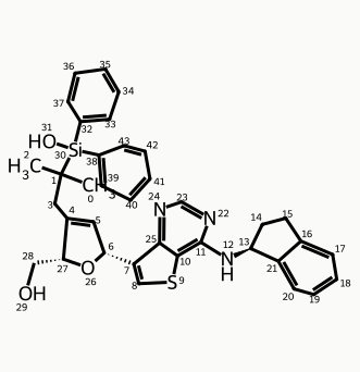 CC(C)(CC1=C[C@H](c2csc3c(N[C@H]4CCc5ccccc54)ncnc23)O[C@@H]1CO)[Si](O)(c1ccccc1)c1ccccc1